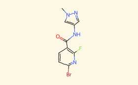 Cn1cc(NC(=O)c2ccc(Br)nc2F)cn1